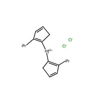 CC(C)C1=[C]([Hf+2][C]2=C(C(C)C)C=CC2)CC=C1.[Cl-].[Cl-]